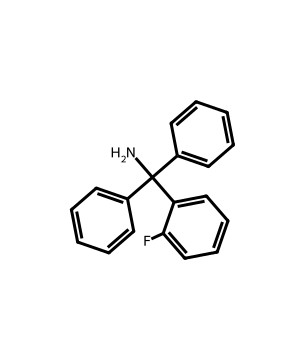 NC(c1ccccc1)(c1ccccc1)c1ccccc1F